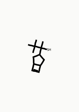 CC(C)(C)C(C)(S)C1CC2C=CC2C1